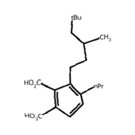 CCCc1ccc(C(=O)O)c(C(=O)O)c1CCC(C)CC(C)(C)C